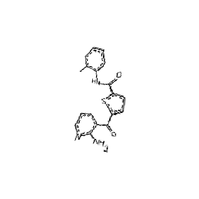 Cc1ccccc1NC(=O)c1ccc(C(=O)c2cccnc2N)s1